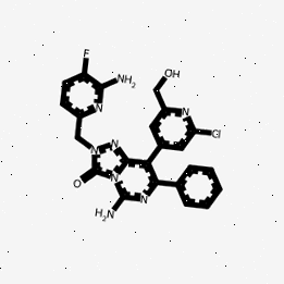 Nc1nc(Cn2nc3c(-c4cc(Cl)nc(CO)c4)c(-c4ccccc4)nc(N)n3c2=O)ccc1F